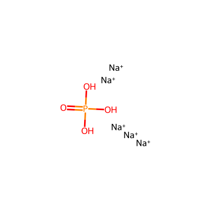 O=P(O)(O)O.[Na+].[Na+].[Na+].[Na+].[Na+]